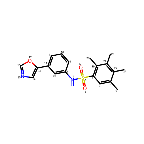 Cc1cc(S(=O)(=O)Nc2cccc(-c3cnco3)c2)c(C)c(C)c1C